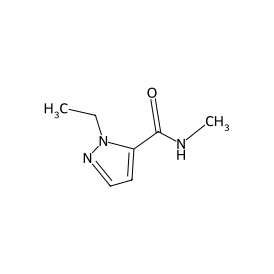 CCn1nccc1C(=O)NC